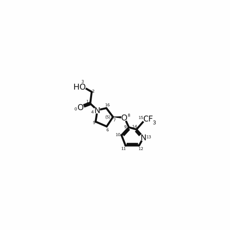 O=C(CO)N1CC[C@H](Oc2cccnc2C(F)(F)F)C1